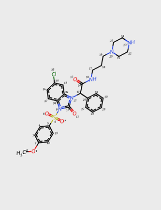 COc1ccc(S(=O)(=O)n2c(=O)n(C(C(=O)NCCCN3CCNCC3)c3ccccc3)c3cc(Cl)ccc32)cc1